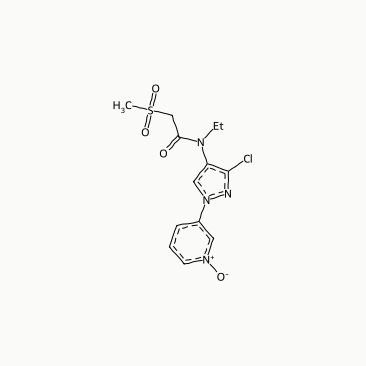 CCN(C(=O)CS(C)(=O)=O)c1cn(-c2ccc[n+]([O-])c2)nc1Cl